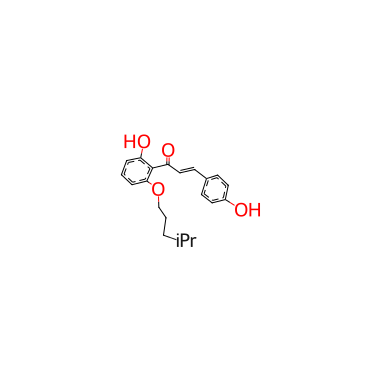 CC(C)CCCOc1cccc(O)c1C(=O)/C=C/c1ccc(O)cc1